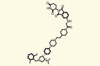 Cc1cccc(F)c1CN1C[C@H](c2ccc(N3CCN(CCC4CCN(C(=O)CNc5ccc6c(c5)C(=O)N(C5CCC(=O)NC5=O)C6=O)CC4)CC3)cc2)[C@@H](N(C)C)C1